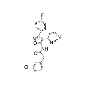 O=C(Cc1cccc(Cl)c1)Nc1onc(-c2ccc(F)cc2)c1-c1ccncn1